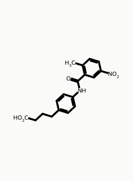 Cc1ccc([N+](=O)[O-])cc1C(=O)Nc1ccc(CCCC(=O)O)cc1